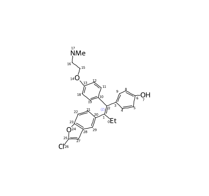 CC/C(=C(\c1ccc(O)cc1)c1ccc(OCCNC)cc1)c1ccc2oc(Cl)cc2c1